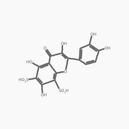 O=c1c(O)c(-c2ccc(O)c(O)c2)oc2c(S(=O)(=O)O)c(O)c(S(=O)(=O)O)c(O)c12